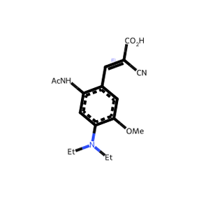 CCN(CC)c1cc(NC(C)=O)c(/C=C(\C#N)C(=O)O)cc1OC